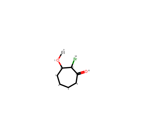 CCOC1CCCCC(=O)C1Br